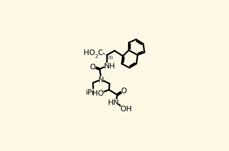 CC(C)CN(CC(O)C(=O)NO)C(=O)N[C@@H](Cc1cccc2ccccc12)C(=O)O